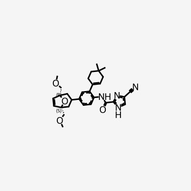 COC[C@@]12C=C[C@@](COC)(CC(c3ccc(NC(=O)c4nc(C#N)c[nH]4)c(C4=CCC(C)(C)CC4)c3)C1)O2